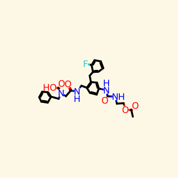 CC(=O)OCCNC(=O)Nc1ccc(CNC(=O)CN(Cc2ccccc2)C(=O)O)c(Cc2ccccc2F)c1